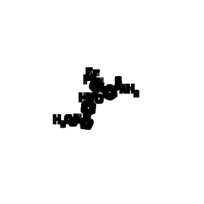 CON=C1CCCN1c1ccc(NC(=O)c2cc(C(F)(F)F)nn2-c2cccc(C(N)=S)c2)cc1